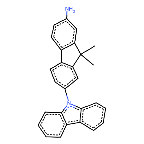 CC1(C)c2cc(N)ccc2-c2ccc(-n3c4ccccc4c4ccccc43)cc21